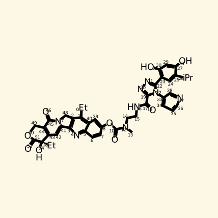 CCc1c2c(nc3ccc(OC(=O)N(C)CCNC(=O)c4nnc(-c5cc(C(C)C)c(O)cc5O)n4-c4cccnc4)cc13)-c1cc3c(c(=O)n1C2)COC(=O)[C@]3(O)CC